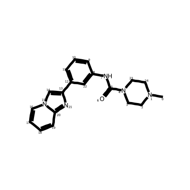 CN1CCN(C(=O)Nc2cccc(-c3cn4ccccc4n3)c2)CC1